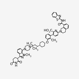 Cc1c(O[C@H]2CC[C@H](CCC(C)(C)N3CCN(c4cccc5c(C6CCC(=O)NC6=O)nn(C)c45)CC3)CC2)cccc1-c1ccc(N2CCc3cccc(C(=O)Nc4nc5ccccc5s4)c3C2)nc1C(=O)O